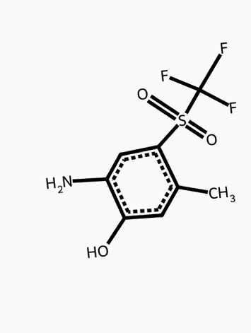 Cc1cc(O)c(N)cc1S(=O)(=O)C(F)(F)F